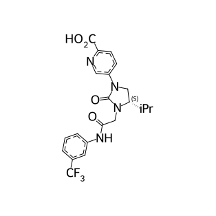 CC(C)[C@H]1CN(c2ccc(C(=O)O)nc2)C(=O)N1CC(=O)Nc1cccc(C(F)(F)F)c1